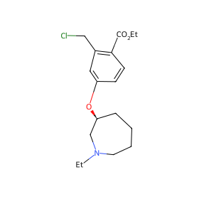 CCOC(=O)c1ccc(O[C@H]2CCCCN(CC)C2)cc1CCl